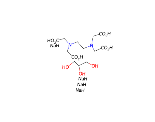 O=C(O)CN(CCN(CC(=O)O)CC(=O)O)CC(=O)O.OCC(O)CO.[NaH].[NaH].[NaH].[NaH]